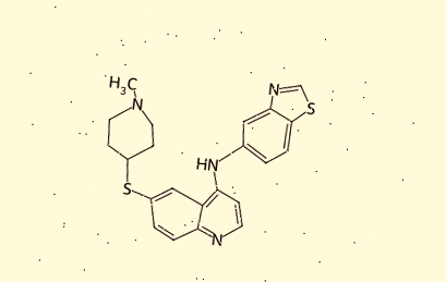 CN1CCC(Sc2ccc3nccc(Nc4ccc5scnc5c4)c3c2)CC1